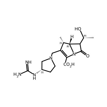 C[C@@H](O)C1C(=O)N2C(C(=O)O)=C(CN3CC[C@H](NC(=N)N)C3)[C@H](C)[C@H]12